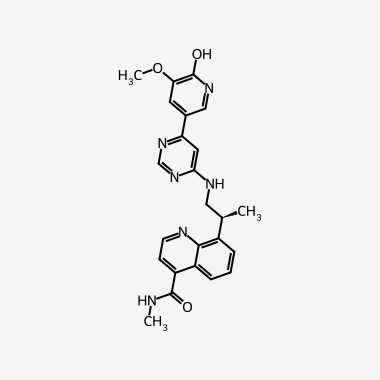 CNC(=O)c1ccnc2c([C@H](C)CNc3cc(-c4cnc(O)c(OC)c4)ncn3)cccc12